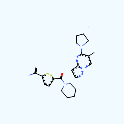 C=C(N)c1ccc(C(=O)N2CCCC[C@H]2c2cc3nc(N4CC[C@H](N)C4)c(C)cn3n2)s1